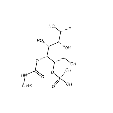 CCCCCCNC(=O)O[C@H]([C@H](O)[C@@H](O)[C@@H](C)O)[C@H](CO)OP(=O)(O)O